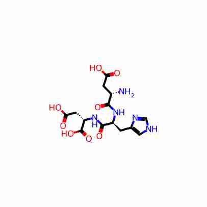 N[C@@H](CC(=O)O)C(=O)N[C@@H](Cc1c[nH]cn1)C(=O)N[C@@H](CC(=O)O)C(=O)O